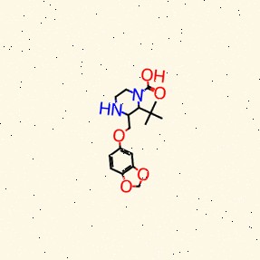 CC(C)(C)C1C(COc2ccc3c(c2)OCO3)NCCN1C(=O)O